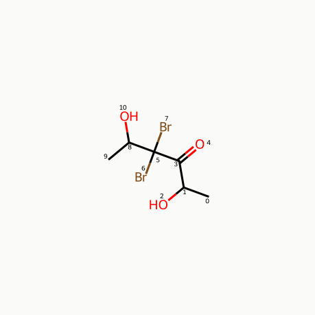 CC(O)C(=O)C(Br)(Br)C(C)O